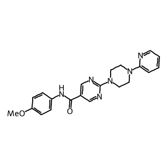 COc1ccc(NC(=O)c2cnc(N3CCN(c4ccccn4)CC3)nc2)cc1